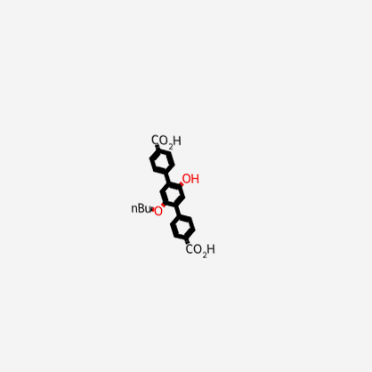 CCCCOc1cc(-c2ccc(C(=O)O)cc2)c(O)cc1-c1ccc(C(=O)O)cc1